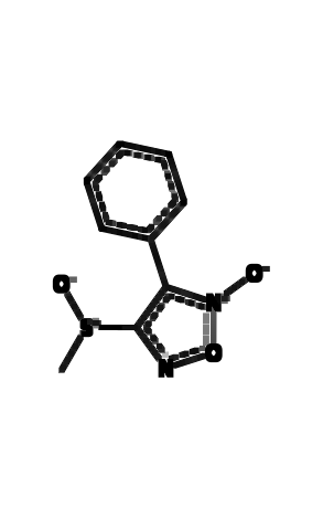 C[S+]([O-])c1no[n+]([O-])c1-c1ccccc1